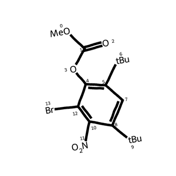 COC(=O)Oc1c(C(C)(C)C)cc(C(C)(C)C)c([N+](=O)[O-])c1Br